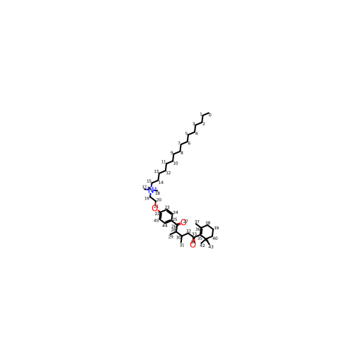 CCCCCCCCCCCCCCCC[N+](C)(C)CCOc1ccc(C(=O)C(C)C(C)CC(=O)C2=C(C)CCCC2(C)C)cc1